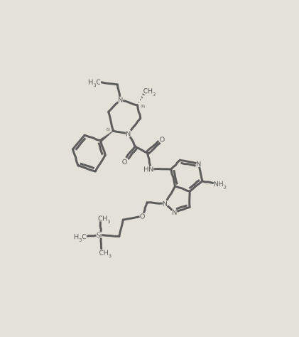 CCN1C[C@H](c2ccccc2)N(C(=O)C(=O)Nc2cnc(N)c3cnn(COCC[Si](C)(C)C)c23)C[C@H]1C